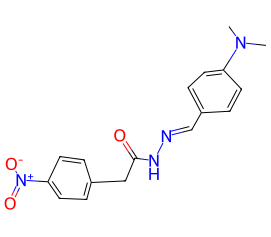 CN(C)c1ccc(/C=N/NC(=O)Cc2ccc([N+](=O)[O-])cc2)cc1